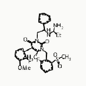 CCC(N)NC(Cn1c(=O)c(-c2cccc(OC)c2F)c(C)n(Cc2c(F)cccc2S(C)(=O)=O)c1=O)c1ccccc1